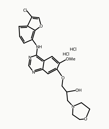 COc1cc2c(Nc3cccc4c(Cl)coc34)ncnc2cc1OCC(O)CN1CCOCC1.Cl.Cl